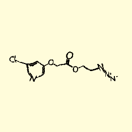 [N-]=[N+]=NCCOC(=O)COc1cncc(Cl)c1